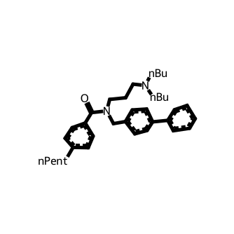 CCCCCc1ccc(C(=O)N(CCCN(CCCC)CCCC)Cc2ccc(-c3ccccc3)cc2)cc1